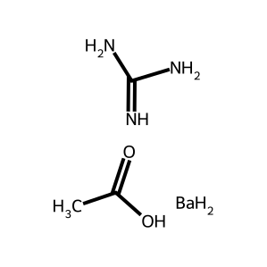 CC(=O)O.N=C(N)N.[BaH2]